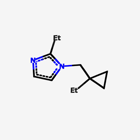 CCc1nccn1CC1(CC)CC1